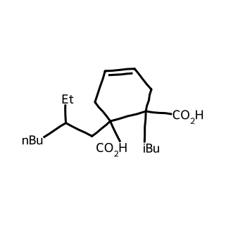 CCCCC(CC)CC1(C(=O)O)CC=CCC1(C(=O)O)C(C)CC